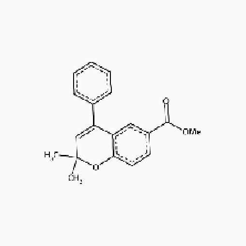 COC(=O)c1ccc2c(c1)C(c1ccccc1)=CC(C)(C)O2